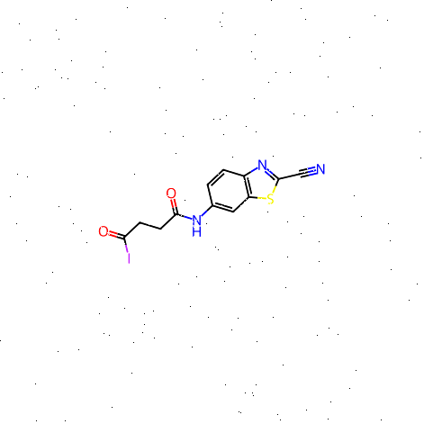 N#Cc1nc2ccc(NC(=O)CCC(=O)I)cc2s1